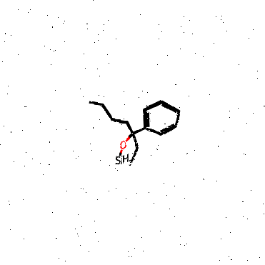 CCCCC(CC)(O[SiH3])c1ccccc1